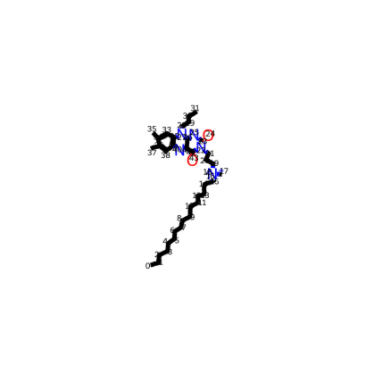 CCCCCCCCCCCCCCCC[N+](C)(C)CCCn1c(=O)nc2n(CCCC)c3cc(C)c(C)cc3nc-2c1=O